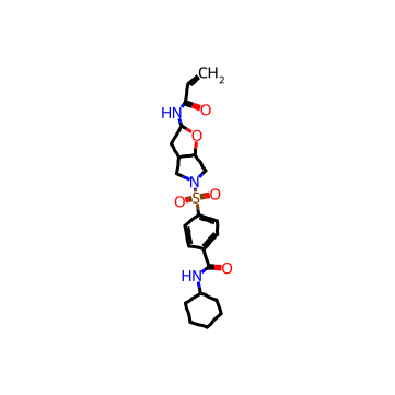 C=CC(=O)NC1CC2CN(S(=O)(=O)c3ccc(C(=O)NC4CCCCC4)cc3)CC2O1